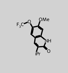 COc1cc2[nH]c(=O)c(C(C)C)cc2cc1OC(F)(F)F